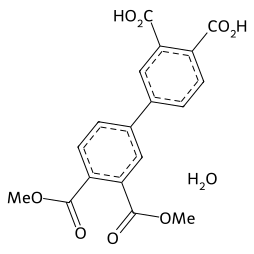 COC(=O)c1ccc(-c2ccc(C(=O)O)c(C(=O)O)c2)cc1C(=O)OC.O